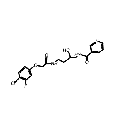 O=C(COc1ccc(Cl)c(F)c1)NCCC(O)CNC(=O)c1cccnc1